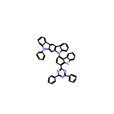 c1ccc(-c2nc(-c3ccccc3)nc(-c3ccc(-n4c5ccccc5c5cc6c7ccccc7n(-c7ccccc7)c6cc54)c4c3sc3ccccc34)n2)cc1